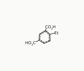 [CH2]Cc1ccc(C(=O)O)cc1C(=O)O